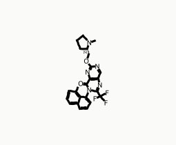 Cc1cccc2cccc(-n3c(C(F)(F)F)nc4cnc(OC[C@@H]5CCCN5C)nc4c3=O)c12